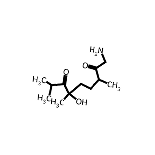 CC(C)C(=O)C(C)(O)CCC(C)C(=O)CN